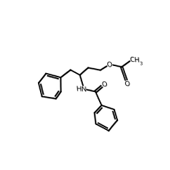 CC(=O)OCCC(Cc1ccccc1)NC(=O)c1ccccc1